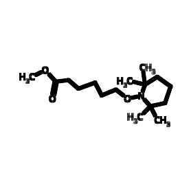 COC(=O)CCCCCON1C(C)(C)CCCC1(C)C